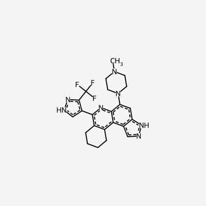 CN1CCN(c2cc3[nH]ncc3c3c4c(c(-c5c[nH]nc5C(F)(F)F)nc23)CCCC4)CC1